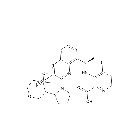 Cc1cc([C@@H](C)Nc2c(Cl)ccnc2C(=O)O)c2nc(N3CCCC3C3COCCC3(C)O)c(C#N)nc2c1